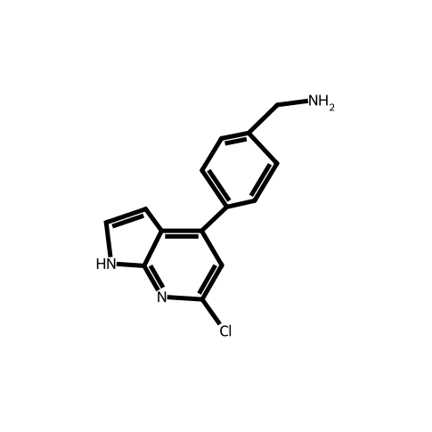 NCc1ccc(-c2cc(Cl)nc3[nH]ccc23)cc1